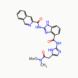 CON(C)C(=O)Cc1cnc(NC(=O)c2cccc3[nH]c(NC(=O)c4cc5ccccc5cn4)nc23)[nH]1